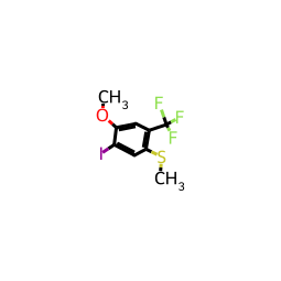 COc1cc(C(F)(F)F)c(SC)cc1I